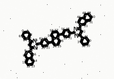 c1ccc(-c2cc(-c3ccc4ccccc4c3)nc(-c3ccc(-c4cccc5c(-c6ccc(-c7nc(-c8ccccc8)cc(-c8ccc9ccccc9c8)n7)cc6)cccc45)cc3)n2)cc1